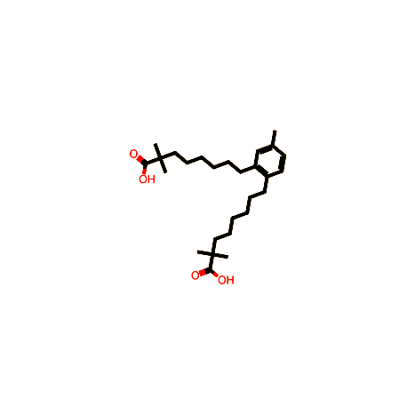 Cc1ccc(CCCCCCC(C)(C)C(=O)O)c(CCCCCCC(C)(C)C(=O)O)c1